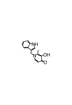 Cc1c(O)c(=O)ccn1Cc1c[nH]c2ccccc12